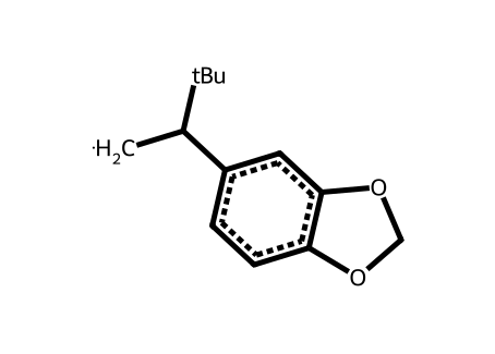 [CH2]C(c1ccc2c(c1)OCO2)C(C)(C)C